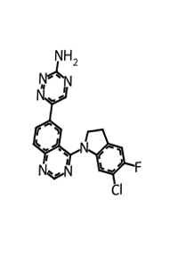 Nc1ncc(-c2ccc3ncnc(N4CCc5cc(F)c(Cl)cc54)c3c2)nn1